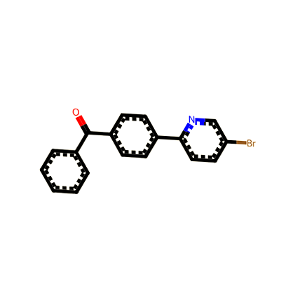 O=C(c1ccccc1)c1ccc(-c2ccc(Br)cn2)cc1